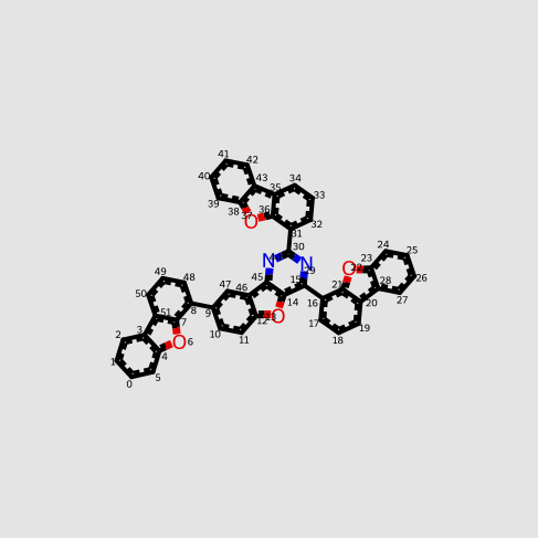 c1ccc2c(c1)oc1c(-c3ccc4oc5c(-c6cccc7c6oc6ccccc67)nc(-c6cccc7c6oc6ccccc67)nc5c4c3)cccc12